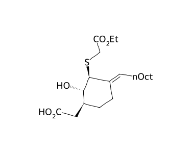 CCCCCCCC/C=C1\CC[C@@H](CC(=O)O)[C@H](O)[C@H]1SCC(=O)OCC